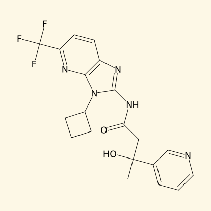 CC(O)(CC(=O)Nc1nc2ccc(C(F)(F)F)nc2n1C1CCC1)c1cccnc1